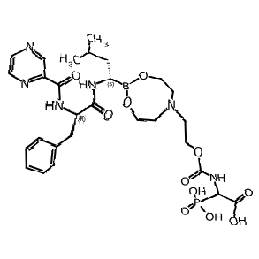 CC(C)C[C@@H](NC(=O)[C@@H](Cc1ccccc1)NC(=O)c1cnccn1)B1OCCN(CCOC(=O)NC(C(=O)O)P(=O)(O)O)CCO1